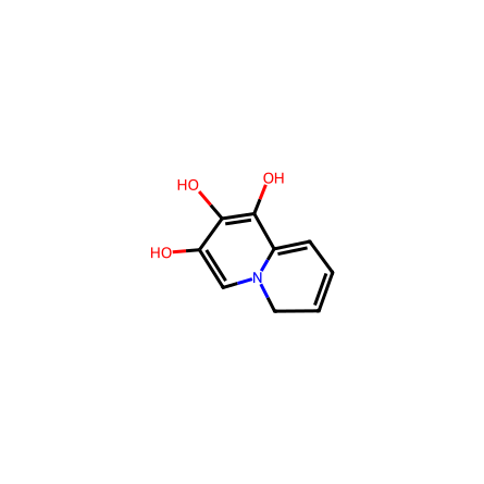 OC1=CN2CC=CC=C2C(O)=C1O